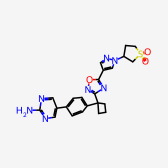 Nc1ncc(-c2ccc(C3(c4noc(-c5cnn(C6CCS(=O)(=O)C6)c5)n4)CCC3)cc2)cn1